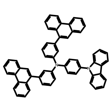 c1cc(-c2cc3ccccc3c3ccccc23)cc(N(c2ccc(-n3c4ccccc4c4ccccc43)cc2)c2cccc(-c3cc4ccccc4c4ccccc34)c2)c1